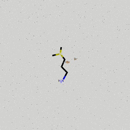 Br.C[S+](C)CCCN.[Br-]